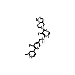 Cc1cc(-c2ncc(CNc3ncnc(N4CCn5nnnc5C4)c3F)cc2F)ccn1